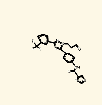 O=CCCn1nc(-c2cccc(C(F)(F)F)c2)nc1-c1ccc(NC(=O)c2cscn2)cc1